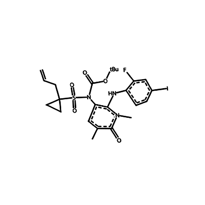 C=CCC1(S(=O)(=O)N(C(=O)OC(C)(C)C)c2cc(C)c(=O)n(C)c2Nc2ccc(I)cc2F)CC1